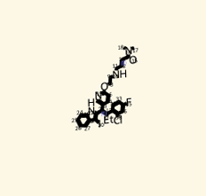 CC/C(=C(/c1ccc(OCCNC/C=C/C(=O)N(C)C)nc1)c1[nH]c2ccccc2c1I)c1ccc(F)cc1Cl